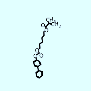 C=C(C)C(=O)OCCCCCCOC(=O)Oc1ccc(-c2ccccc2)cc1